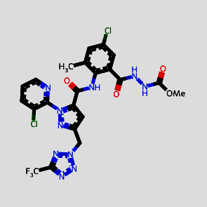 COC(=O)NNC(=O)c1cc(Cl)cc(C)c1NC(=O)c1cc(Cn2nnc(C(F)(F)F)n2)nn1-c1ncccc1Cl